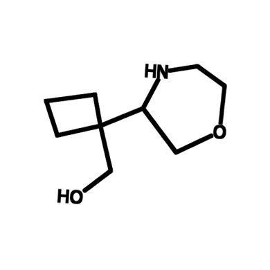 OCC1(C2COCCN2)CCC1